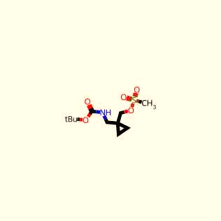 CC(C)(C)OC(=O)NCC1(COS(C)(=O)=O)CC1